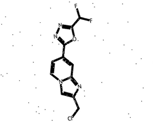 FC(F)c1nnc(-c2ccn3cc(CCl)nc3c2)o1